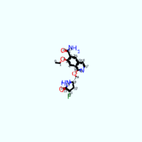 CCOc1cc2c(OC[C@@H]3C[C@H](F)C(=O)N3)nccc2cc1C(N)=O